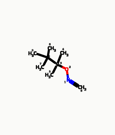 C=NO[Si](C)(C)C(C)(C)C